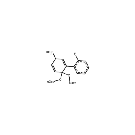 CCCCCCCCOC1(OCCCCCCCC)C=CC(C(=O)O)C=C1c1ccccc1F